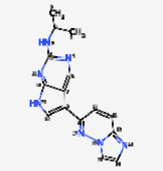 CC(C)Nc1ncc2c(-c3ccc4nccn4n3)c[nH]c2n1